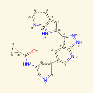 O=C(Nc1cncc(-c2cnc3[nH]nc(-c4cc5cccnc5[nH]4)c3c2)c1)C1CC1